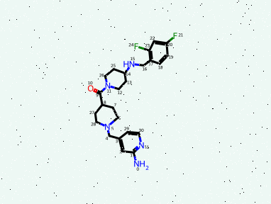 Nc1cc(CN2CCC(C(=O)N3CCC(NCc4ccc(F)cc4F)CC3)CC2)ccn1